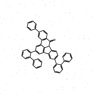 O=c1c2ccc(-c3ccccc3)cc2c2cc(-c3ccccc3-c3ccccc3)cc3c4cc(-c5ccccc5-c5ccccc5)ccc4n1c23